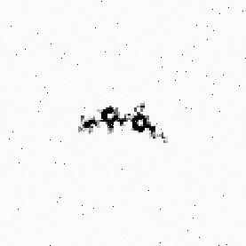 COc1cc(CN)ccc1OCc1nccc(OCC(F)(F)F)c1C